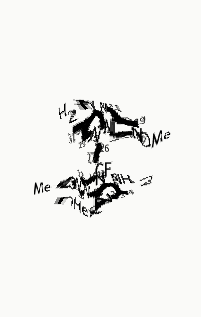 CCCCCCN1CC(C)=C(N)C2=C1N1CN(OC)C=C1C=N2.CON1C=C2C=NC3=C(N(CCC(F)(F)F)CC(C)=C3N)N2C1